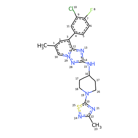 Cc1cc(-c2ccc(F)c(Cl)c2)c2nc(NC3CCN(c4nc(C)ns4)CC3)nn2c1